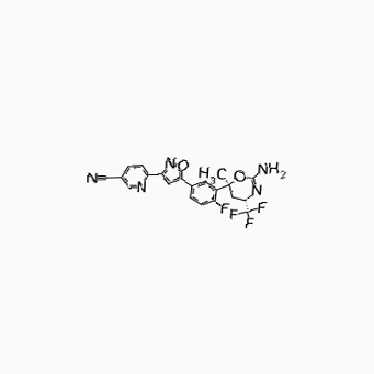 C[C@@]1(c2cc(-c3cc(-c4ccc(C#N)cn4)no3)ccc2F)C[C@@H](C(F)(F)F)N=C(N)O1